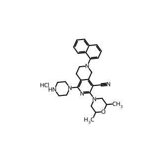 CC1CN(c2nc(N3CCNCC3)c3c(c2C#N)CN(c2cccc4ccccc24)CC3)CC(C)O1.Cl